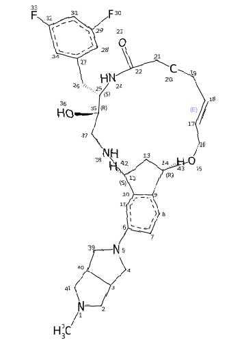 CN1CC2CN(c3ccc4c(c3)[C@@H]3C[C@H]4OC/C=C/CCCC(=O)N[C@@H](Cc4cc(F)cc(F)c4)[C@H](O)CN3)CC2C1